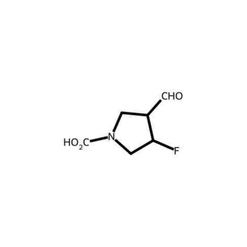 O=CC1CN(C(=O)O)CC1F